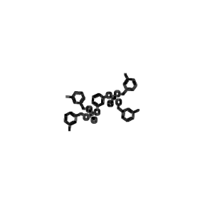 Cc1cccc(COP(=O)(OCc2cccc(C)c2)Oc2cccc(OP(=O)(OCc3cccc(C)c3)OCc3cccc(C)c3)c2)c1